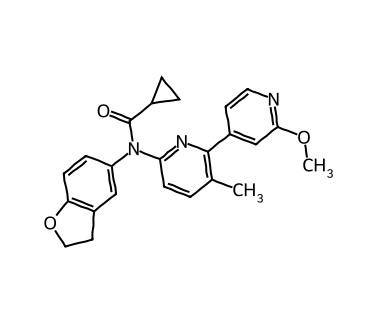 COc1cc(-c2nc(N(C(=O)C3CC3)c3ccc4c(c3)CCO4)ccc2C)ccn1